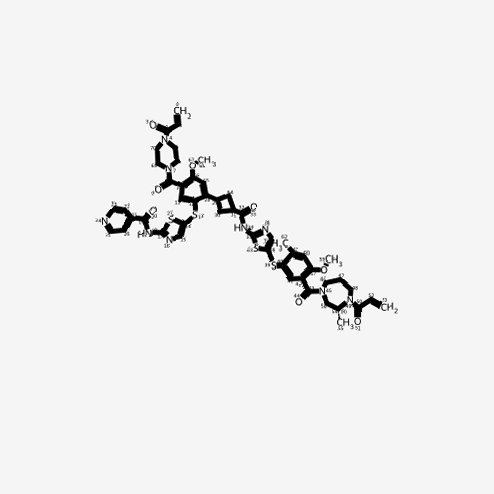 C=CC(=O)N1CCN(C(=O)c2cc(Sc3cnc(NC(=O)c4ccncc4)s3)c(C3CC(C(=O)Nc4ncc(Sc5cc(C(=O)N6CCCN(C(=O)C=C)[C@H](C)C6)c(OC)cc5C)s4)C3)cc2OC)CC1